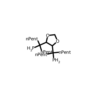 CCCCCC(P)(CCCCC)C1OCOC1C(P)(CCCCC)CCCCC